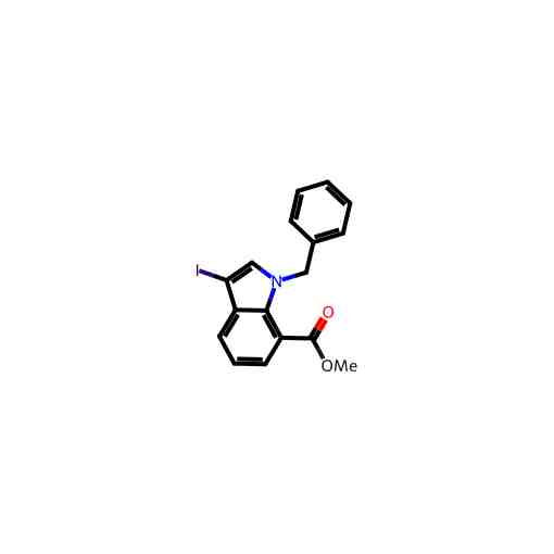 COC(=O)c1cccc2c(I)cn(Cc3ccccc3)c12